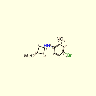 CO[C@H]1C[C@H](Nc2ccc(Br)cc2[N+](=O)[O-])C1